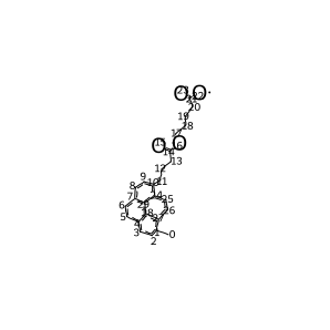 Cc1ccc2ccc3ccc(CCCC(=O)OCCCCC([O])=O)c4ccc1c2c34